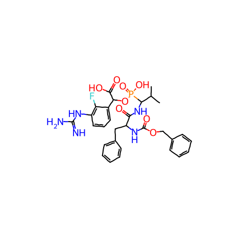 CC(C)C(NC(=O)C(Cc1ccccc1)NC(=O)OCc1ccccc1)P(=O)(O)OC(C(=O)O)c1cccc(NC(=N)N)c1F